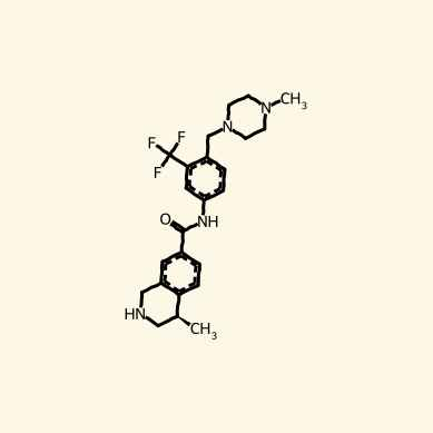 C[C@H]1CNCc2cc(C(=O)Nc3ccc(CN4CCN(C)CC4)c(C(F)(F)F)c3)ccc21